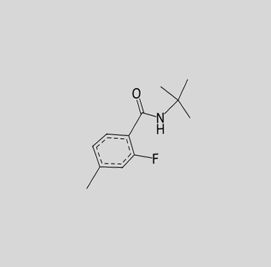 Cc1ccc(C(=O)NC(C)(C)C)c(F)c1